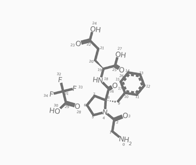 NCC(=O)N1CCC[C@@]1(Cc1ccccc1)C(=O)N[C@@H](CCC(=O)O)C(=O)O.O=C(O)C(F)(F)F